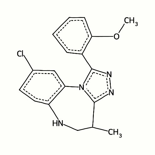 COc1ccccc1-c1nnc2n1-c1cc(Cl)ccc1NCC2C